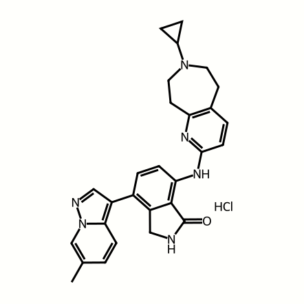 Cc1ccc2c(-c3ccc(Nc4ccc5c(n4)CCN(C4CC4)CC5)c4c3CNC4=O)cnn2c1.Cl